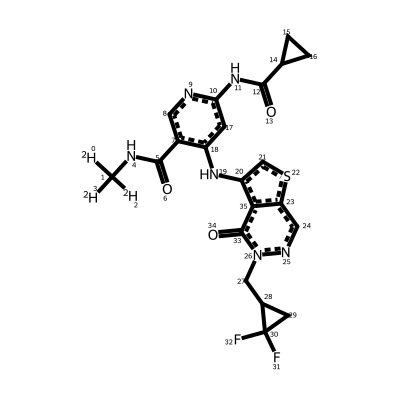 [2H]C([2H])([2H])NC(=O)c1cnc(NC(=O)C2CC2)cc1Nc1csc2cnn(CC3CC3(F)F)c(=O)c12